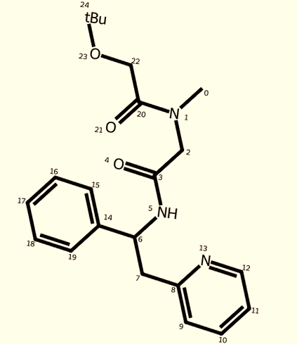 CN(CC(=O)NC(Cc1ccccn1)c1ccccc1)C(=O)COC(C)(C)C